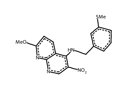 COc1ccc2c(NCc3cccc(SC)c3)c([N+](=O)[O-])cnc2n1